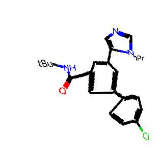 CC(C)n1cncc1-c1cc(C(=O)NC(C)(C)C)cc(-c2ccc(Cl)cc2)c1